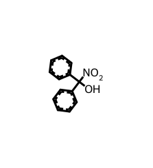 O=[N+]([O-])C(O)(c1ccccc1)c1ccccc1